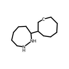 C1CCCC(C2CCCCCNN2)CCC1